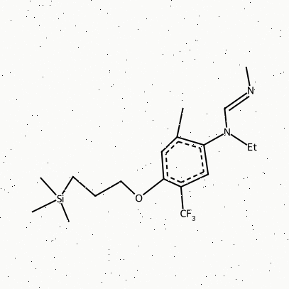 CCN(C=NC)c1cc(C(F)(F)F)c(OCCC[Si](C)(C)C)cc1C